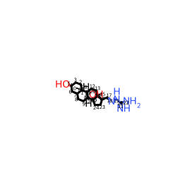 C[C@]12CCC(O)CC1CC[C@@H]1[C@H]2CC[C@]2(C)C(C=NNC(=N)N)CC[C@@]12O